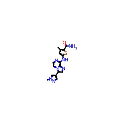 Cc1cc(Nc2nccn3c(-c4cnn(C)c4)cnc23)sc1C(N)=O